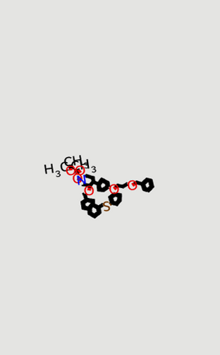 CC(C)(C)OC(=O)ON1CCC(c2ccc(OCCCOCc3ccccc3)cc2)C(OCc2ccc3cccc(CSc4ccccc4)c3c2)C1